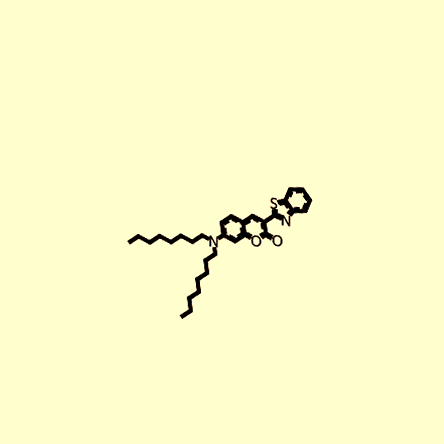 CCCCCCCCN(CCCCCCCC)c1ccc2cc(-c3nc4ccccc4s3)c(=O)oc2c1